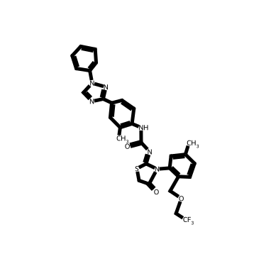 Cc1ccc(COCC(F)(F)F)c(N2C(=O)CSC2=NC(=O)Nc2ccc(-c3ncn(-c4ccccc4)n3)cc2C)c1